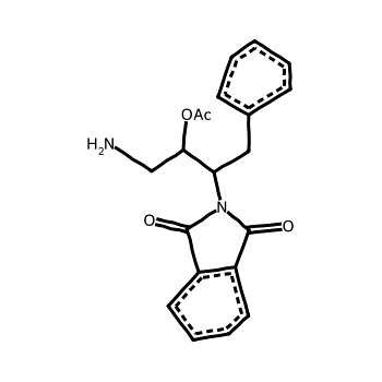 CC(=O)OC(CN)C(Cc1ccccc1)N1C(=O)c2ccccc2C1=O